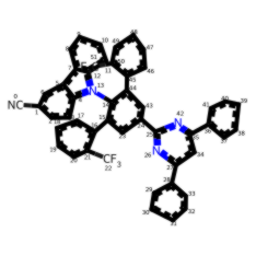 N#Cc1ccc2c(c1)c1ccccc1n2-c1c(-c2ccccc2C(F)(F)F)cc(-c2nc(-c3ccccc3)cc(-c3ccccc3)n2)cc1-c1ccccc1C(F)(F)F